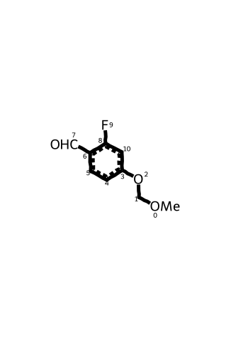 COCOc1ccc(C=O)c(F)c1